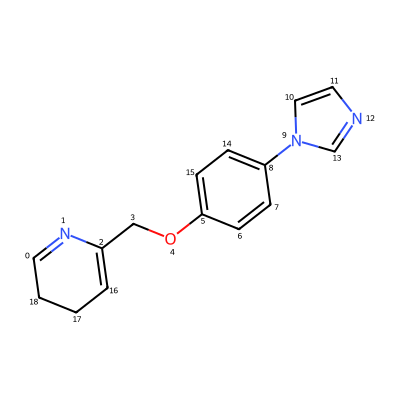 C1=NC(COc2ccc(-n3ccnc3)cc2)=CCC1